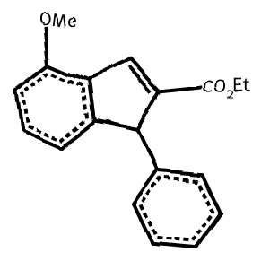 CCOC(=O)C1=Cc2c(OC)cccc2C1c1ccccc1